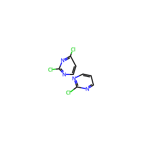 Clc1ccnc(Cl)n1.Clc1ncccn1